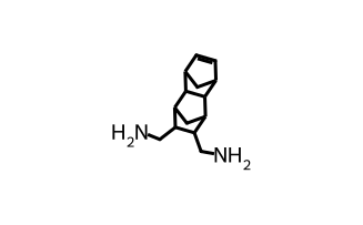 NCC1C(CN)C2CC1C1C3C=CC(C3)C21